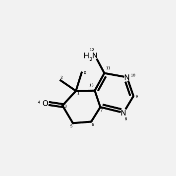 CC1(C)C(=O)CCc2ncnc(N)c21